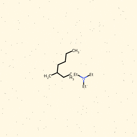 CCN(CC)CC.[CH2]C(CC)CCCC